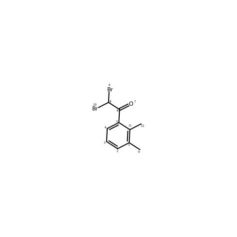 Cc1cccc(C(=O)C(Br)Br)c1C